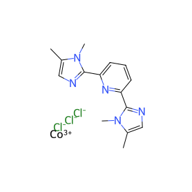 Cc1cnc(-c2cccc(-c3ncc(C)n3C)n2)n1C.[Cl-].[Cl-].[Cl-].[Co+3]